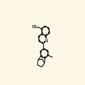 Cc1cc(-c2ccc3c(C(C)(C)C)cccc3n2)cc2c1C1CCC2C1